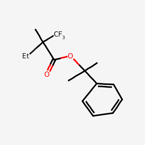 CCC(C)(C(=O)OC(C)(C)c1ccccc1)C(F)(F)F